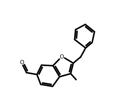 Cc1c(Cc2ccccc2)oc2cc(C=O)ccc12